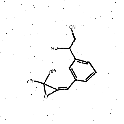 CCCC1(CCC)O/C1=C/c1cccc(C(O)CC#N)c1